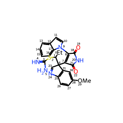 CCC(SC(=N)N)C1(C2=C(n3ccc4ccccc43)C(=O)NC2=O)C=Nc2ccc(OC)cc21